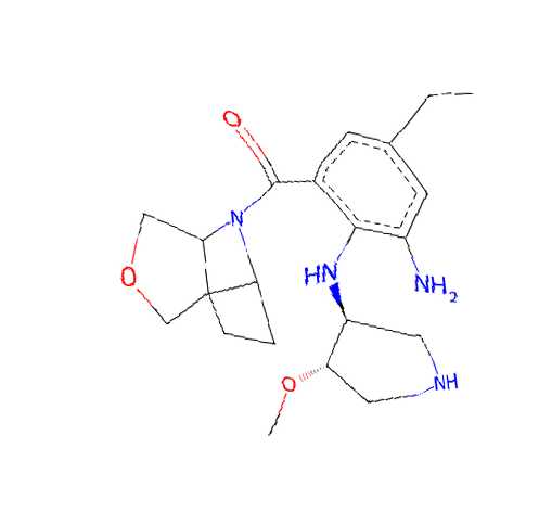 CCc1cc(N)c(N[C@H]2CNC[C@@H]2OC)c(C(=O)N2C3CCC34COCC24)c1